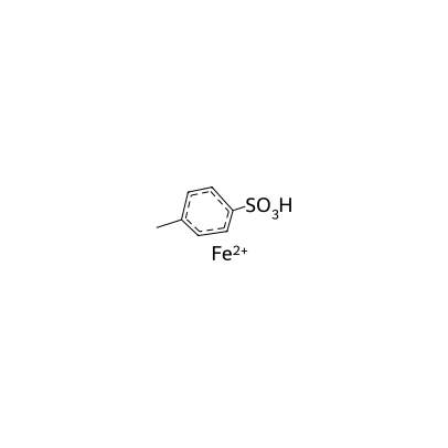 Cc1ccc(S(=O)(=O)O)cc1.[Fe+2]